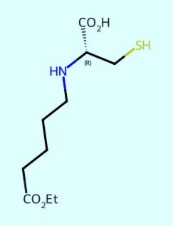 CCOC(=O)CCCCN[C@@H](CS)C(=O)O